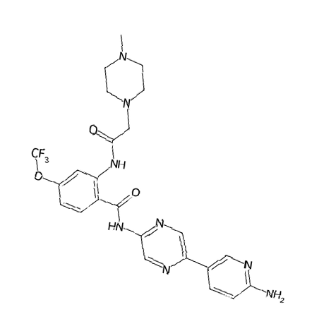 CN1CCN(CC(=O)Nc2cc(OC(F)(F)F)ccc2C(=O)Nc2cnc(-c3ccc(N)nc3)cn2)CC1